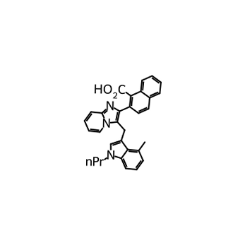 CCCn1cc(Cc2c(-c3ccc4ccccc4c3C(=O)O)nc3ccccn23)c2c(C)cccc21